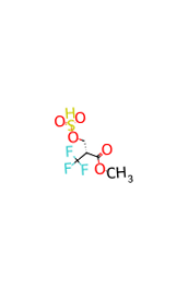 COC(=O)[C@@H](CO[SH](=O)=O)C(F)(F)F